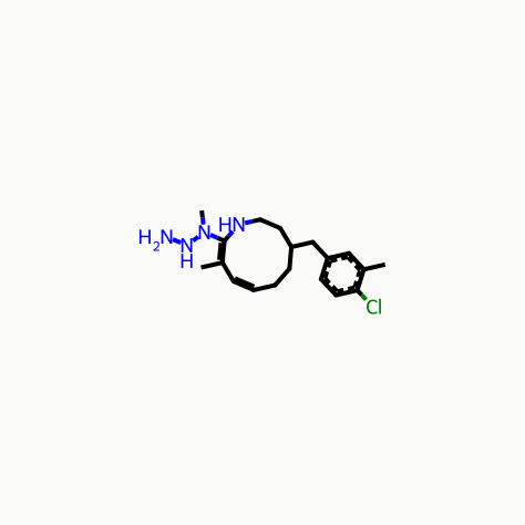 CC1=C(\N(C)NN)NCCC(Cc2ccc(Cl)c(C)c2)CC/C=C\1